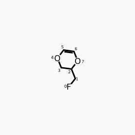 FCC1COC=CO1